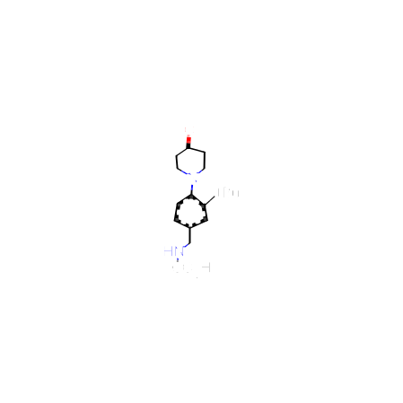 CC(C)(C)c1cc(CNC(=O)O)ccc1N1CCC(=O)CC1